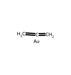 C=C=C.[Au]